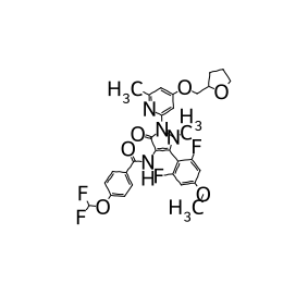 COc1cc(F)c(-c2c(NC(=O)c3ccc(OC(F)F)cc3)c(=O)n(-c3cc(OCC4CCCO4)cc(C)n3)n2C)c(F)c1